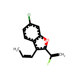 C=C(F)c1oc2cc(Cl)ccc2c1/C=C\C